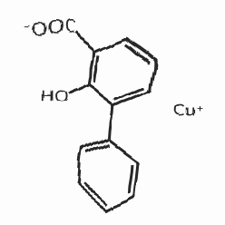 O=C([O-])c1cccc(-c2ccccc2)c1O.[Cu+]